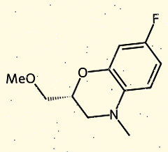 COC[C@H]1CN(C)c2ccc(F)cc2O1